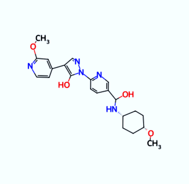 COc1cc(-c2cnn(-c3ccc(C(O)N[C@H]4CC[C@@H](OC)CC4)cn3)c2O)ccn1